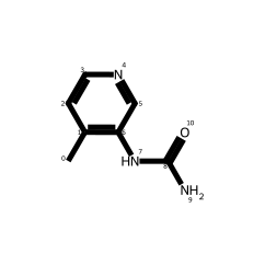 Cc1ccncc1NC(N)=O